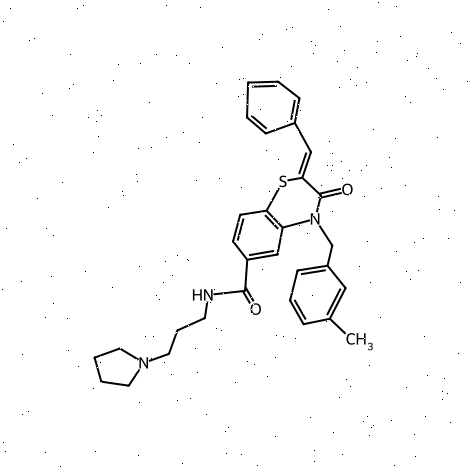 Cc1cccc(CN2C(=O)/C(=C/c3ccccc3)Sc3ccc(C(=O)NCCCN4CCCC4)cc32)c1